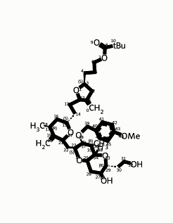 C=C1C[C@H](CCCOC(=O)C(C)(C)C)OC1CC[C@H]1C[C@@H](C)C(=C)C(C[C@@H]2OC3CC(O)[C@@H](CCO)O[C@H]3[C@H](C)[C@H]2OCc2ccc(OC)cc2)O1